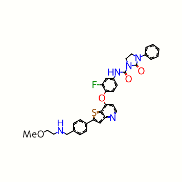 COCCNCc1ccc(-c2cc3nccc(Oc4ccc(NC(=O)N5CCN(c6ccccc6)C5=O)cc4F)c3s2)cc1